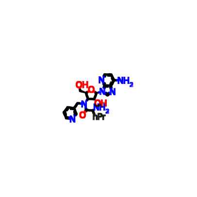 CCCC(N)C(=O)N(Cc1cccnc1)C1[C@@H](CO)O[C@@H](n2cnc3c(N)ccnc32)[C@H]1O